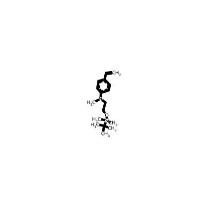 C=Cc1ccc(N(C)CCO[Si](C)(C)C(C)(C)C)cc1